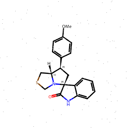 COc1ccc([C@H]2C[C@@]3(C(=O)Nc4ccccc43)N3CSC[C@H]23)cc1